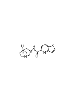 O=C(N[C@@H]1C[C@@H]2CCN(C2)C1)c1ccc2sccc2n1